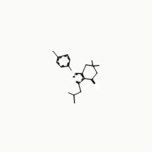 CC(C)Cc1nn(-c2ccc(I)cc2)c2c1C(=O)CC(C)(C)C2